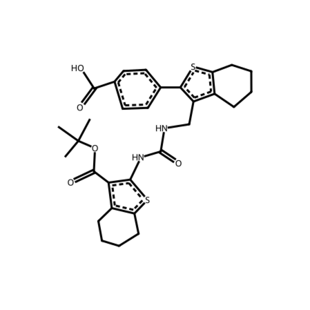 CC(C)(C)OC(=O)c1c(NC(=O)NCc2c(-c3ccc(C(=O)O)cc3)sc3c2CCCC3)sc2c1CCCC2